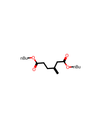 C=C(CCC(=O)OCCCC)CC(=O)OCCCC